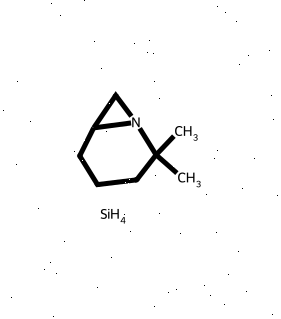 CC1(C)CCCC2CN21.[SiH4]